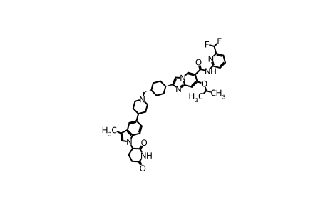 Cc1cn(C2CCC(=O)NC2=O)c2ccc(C3CCN(C[C@H]4CC[C@H](c5cn6cc(C(=O)Nc7cccc(C(F)F)n7)c(OC(C)C)cc6n5)CC4)CC3)cc12